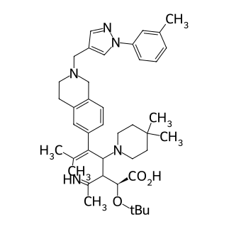 CC(=N)C(C(C(=C(C)C)c1ccc2c(c1)CCN(Cc1cnn(-c3cccc(C)c3)c1)C2)N1CCC(C)(C)CC1)[C@H](OC(C)(C)C)C(=O)O